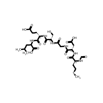 CSCC[C@H](NC=O)C(=O)N[C@@H](CC(=O)O)C(=O)NCC(=O)N[C@@H](CS)C(=O)N[C@@H](CCC(=O)O)C(=O)NC(CC(C)C)C(=O)O